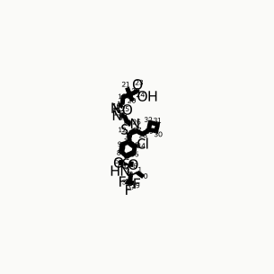 CC[C@H](NS(=O)(=O)c1ccc(-c2sc(-c3nnc(CC(C)(C)C(=O)O)o3)nc2CC2CCC2)c(Cl)c1)C(F)(F)F